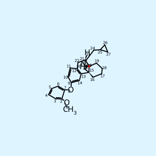 COc1ccccc1Oc1ccc2c(c1)[C@@]13CCCC[C@H]1[C@@H](C2)N(CC1CC1)CC3